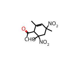 CC1=CC(C)([N+](=O)[O-])CC(C)([N+](=O)[O-])C1C(=O)C=O